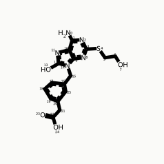 Nc1nc(SCCO)nc2c1nc(O)n2Cc1cccc(CC(=O)O)c1